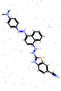 CN(C)c1ccc(N=Nc2ccc(N=Nc3nc4ccc(C#N)cc4s3)c3ccccc23)cc1